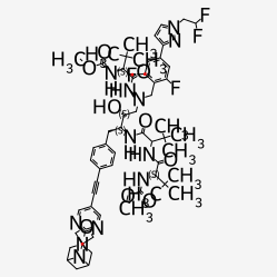 COC(=O)N[C@H](C(=O)NC(C(=O)N[C@@H](Cc1ccc(C#Cc2cnc(N3CC4CC(C3)N4C3COC3)nc2)cc1)[C@@H](O)CN(Cc1c(F)cc(-c2ccn(CC(F)F)n2)cc1F)NC(=O)[C@@H](NC(=O)OC)C(C)(C)C)C(C)(C)C)C(C)(C)C